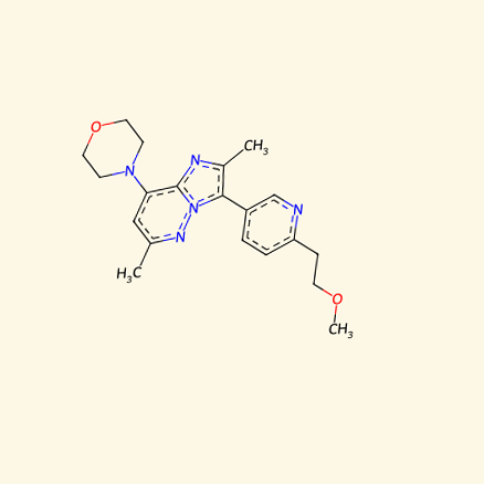 COCCc1ccc(-c2c(C)nc3c(N4CCOCC4)cc(C)nn23)cn1